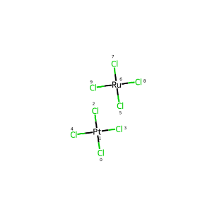 [Cl][Pt]([Cl])([Cl])[Cl].[Cl][Ru]([Cl])([Cl])[Cl]